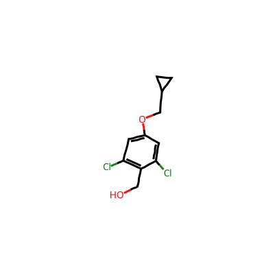 OCc1c(Cl)cc(OCC2CC2)cc1Cl